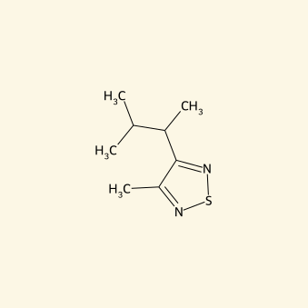 Cc1nsnc1C(C)C(C)C